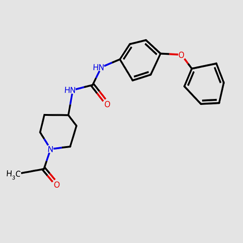 CC(=O)N1CCC(NC(=O)Nc2ccc(Oc3ccccc3)cc2)CC1